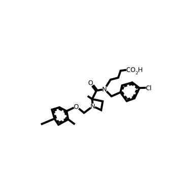 Cc1ccc(OCN2CCC2(C)C(=O)N(CCCC(=O)O)Cc2ccc(Cl)cc2)c(C)c1